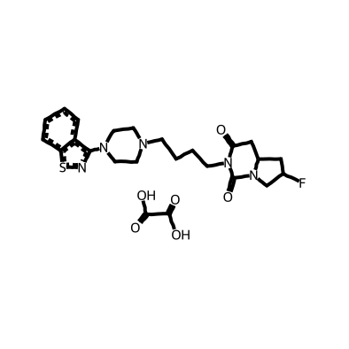 O=C(O)C(=O)O.O=C1CC2CC(F)CN2C(=O)N1CCCCN1CCN(c2nsc3ccccc23)CC1